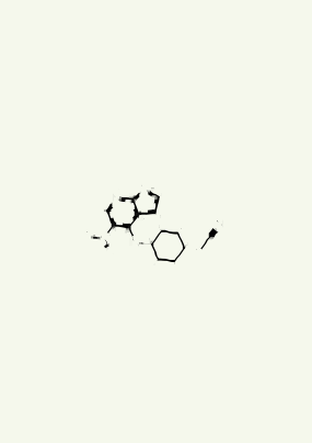 N#CC[C@H]1CC[C@H](Nc2c([N+](=O)[O-])cnc3[nH]ccc23)CC1